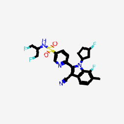 Cc1ccc2c(C#N)c(-c3ccc(S(=O)(=O)NC(CF)CF)cn3)n(C3CCC(F)C3)c2c1F